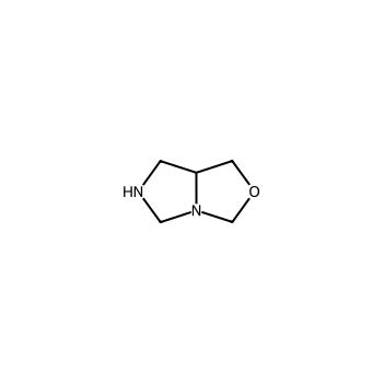 C1NCN2COCC12